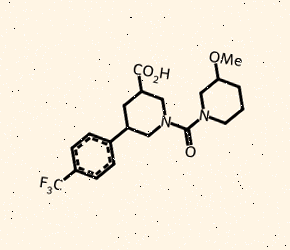 COC1CCCN(C(=O)N2CC(C(=O)O)CC(c3ccc(C(F)(F)F)cc3)C2)C1